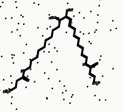 CCCCCCCCC(/C=C/CCCCCCCNC(=O)CCC(=O)O)C(CCCCCCCC)CCCCCCCCCNC(=O)CCC(=O)O